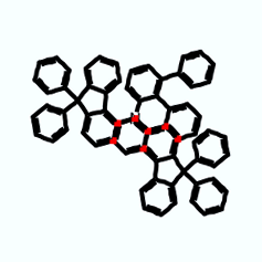 c1ccc(-c2ccccc2-c2c(-c3ccccc3)cccc2N(c2ccc3c(c2)-c2ccccc2C3(c2ccccc2)c2ccccc2)c2cccc3c2-c2ccccc2C3(c2ccccc2)c2ccccc2)cc1